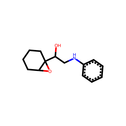 OC(CNc1ccccc1)C12CCCCC1O2